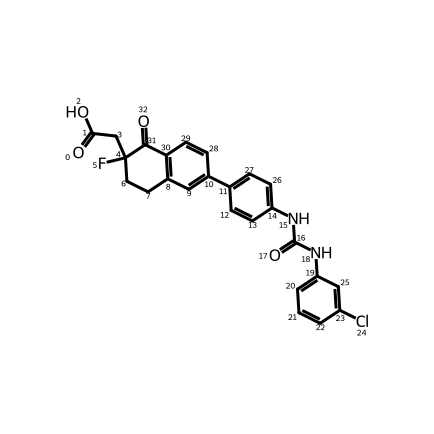 O=C(O)CC1(F)CCc2cc(-c3ccc(NC(=O)Nc4cccc(Cl)c4)cc3)ccc2C1=O